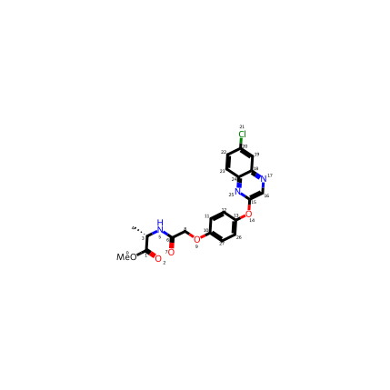 COC(=O)[C@H](C)NC(=O)COc1ccc(Oc2cnc3cc(Cl)ccc3n2)cc1